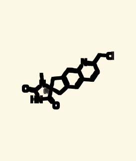 CN1C(=O)NC(=O)[C@]12Cc1cc3ccc(CCl)nc3cc1C2